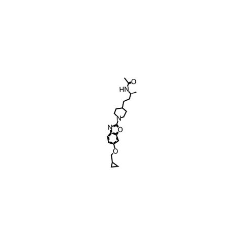 CC(=O)N[C@@H](C)CCC1CCN(c2nc3ccc(OCC4CC4)cc3o2)CC1